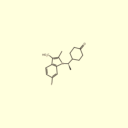 Cc1c(C(=O)O)c2ccc(F)cc2n1[C@H](C)C1CCC(=O)CC1